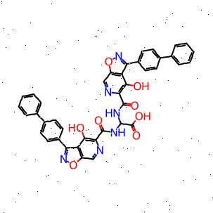 O=C(NC(NC(=O)c1ncc2onc(-c3ccc(-c4ccccc4)cc3)c2c1O)C(=O)O)c1ncc2onc(-c3ccc(-c4ccccc4)cc3)c2c1O